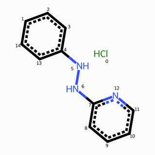 Cl.c1ccc(NNc2ccccn2)cc1